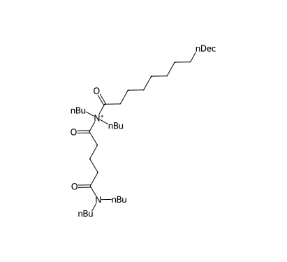 CCCCCCCCCCCCCCCCCC(=O)[N+](CCCC)(CCCC)C(=O)CCCC(=O)N(CCCC)CCCC